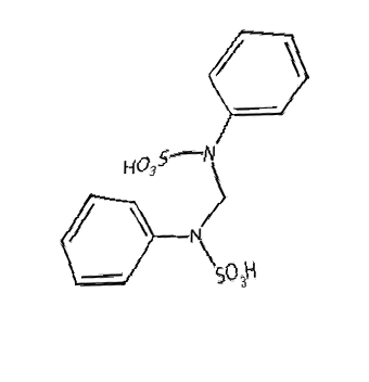 O=S(=O)(O)N(CN(c1ccccc1)S(=O)(=O)O)c1ccccc1